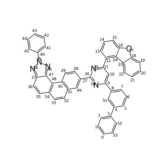 c1ccc(-c2cccc(-c3cc(-c4cccc5oc6ccccc6c45)nc(-c4ccc5c(ccc6ccc7nn(-c8ccccc8)nc7c65)c4)n3)c2)cc1